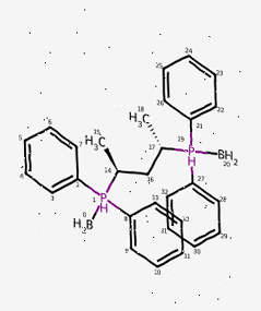 B[PH](c1ccccc1)(c1ccccc1)[C@@H](C)C[C@H](C)[PH](B)(c1ccccc1)c1ccccc1